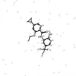 CCSc1cc(C2CC2)cnc1C(=O)Nc1cc(C(F)(F)F)cnc1S